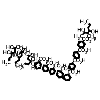 C=CCC(C)(O)CC(C)O.C=CCC(O)C(C)C(C)O.C=CCC(O)CC(C)(C)O.C=CCC(O)CC(C)O.O=C(O)c1ccccc1.O=C(O)c1ccccc1.O=C(O)c1ccccc1.O=C(O)c1ccccc1.O=C(O)c1ccccc1.O=C(O)c1ccccc1.O=C(O)c1ccccc1.O=C(O)c1ccccc1